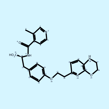 Cc1cnccc1C(=O)N[C@@H](Cc1ccc(OCCc2ccc3c(n2)OCCN3)cc1)C(=O)O